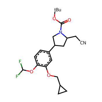 CC(C)(C)OC(=O)N1CC(c2ccc(OC(F)F)c(OCC3CC3)c2)CC1CC#N